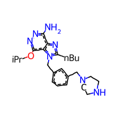 CCCCc1nc2c(N)nnc(OC(C)C)c2n1Cc1cccc(CN2CCNCC2)c1